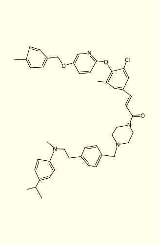 Cc1ccc(COc2ccc(Oc3c(C)cc(C=CC(=O)N4CCN(Cc5ccc(CCN(C)c6ccc(C(C)C)cc6)cc5)CC4)cc3Cl)nc2)cc1